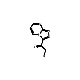 O=C(CBr)c1cnc2ncccn12